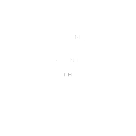 CCCCNC(=O)NCCN